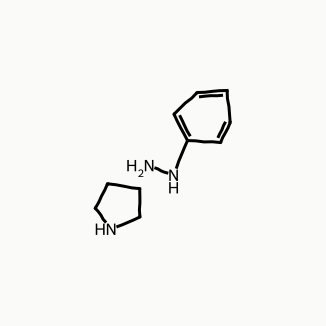 C1CCNC1.NNc1ccccc1